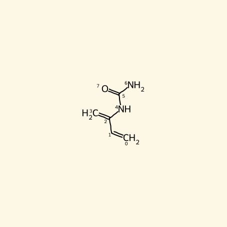 C=CC(=C)NC(N)=O